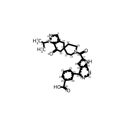 CC(C)n1ncc2c1C(=O)CC1(CCN(C(=O)c3cc4c(-c5cccc(C(=O)O)c5)ncnc4[nH]3)CC1)C2